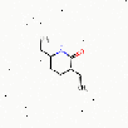 C=CC1CCC(CC)NC1=O